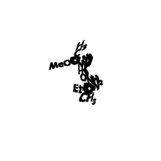 CCc1cc(NC(=O)/C=C/c2cccnc2Nc2cc(C)cc(OC)c2)c(N)cc1C